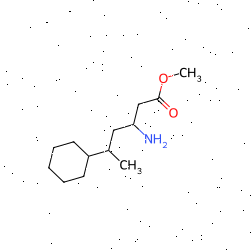 COC(=O)CC(N)CC(C)C1CCCCC1